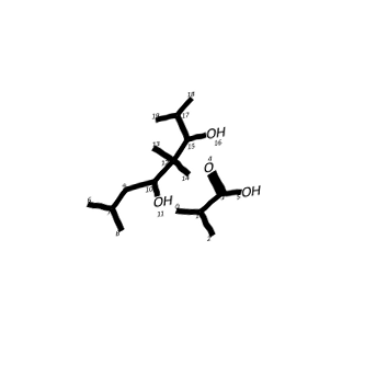 CC(C)C(=O)O.CC(C)CC(O)C(C)(C)C(O)C(C)C